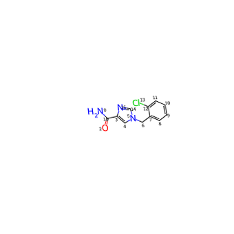 NC(=O)c1cn(Cc2ccccc2Cl)cn1